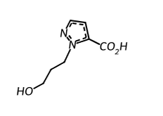 O=C(O)c1ccnn1CCCO